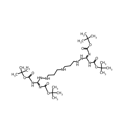 CC(C)(C)OC(=O)/N=C(\NNCCCNCCCNN/C(=N\C(=O)OC(C)(C)C)NC(=O)OC(C)(C)C)NC(=O)OC(C)(C)C